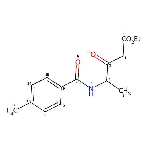 CCOC(=O)CC(=O)C(C)NC(=O)c1ccc(C(F)(F)F)cc1